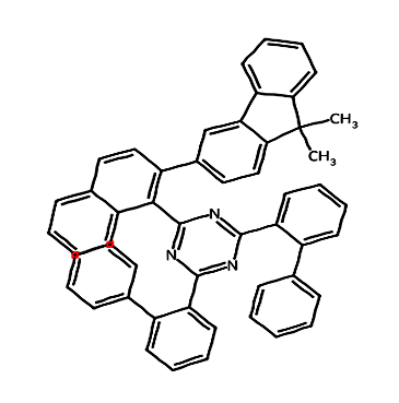 CC1(C)c2ccccc2-c2cc(-c3ccc4ccccc4c3-c3nc(-c4ccccc4-c4ccccc4)nc(-c4ccccc4-c4ccccc4)n3)ccc21